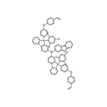 C=Cc1ccc(Oc2ccc(C3(c4c(F)cc(F)cc4F)c4ccccc4-c4ccc(N(c5ccc6c(c5)C(c5ccc(Oc7ccc(C=C)cc7)cc5)(c5c(F)cc(F)cc5F)c5ccccc5-6)c5ccc6c(c5)oc5ccccc56)cc43)cc2)cc1